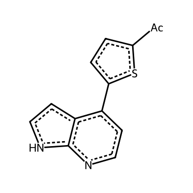 CC(=O)c1ccc(-c2ccnc3[nH]ccc23)s1